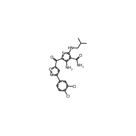 CC(C)CNc1sc(C(=O)c2cc(-c3ccc(Cl)c(Cl)c3)no2)c(N)c1C(N)=O